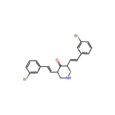 O=C1C(C=Cc2cccc(Br)c2)CNCC1C=Cc1cccc(Br)c1